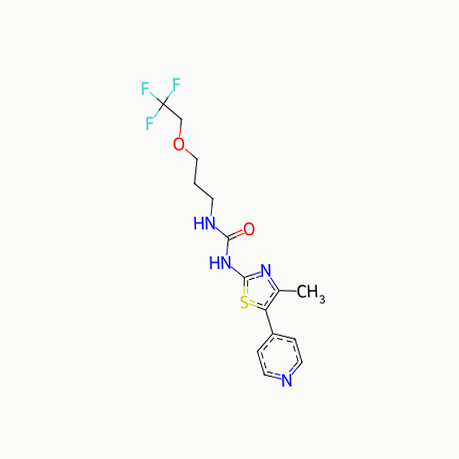 Cc1nc(NC(=O)NCCCOCC(F)(F)F)sc1-c1ccncc1